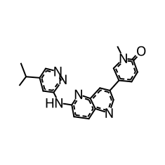 CC(C)c1cnnc(Nc2ccc3ncc(-c4ccc(=O)n(C)c4)cc3n2)c1